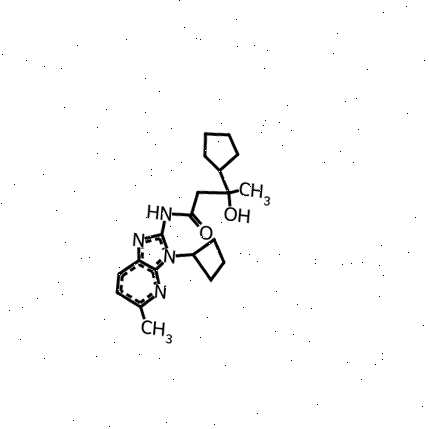 Cc1ccc2nc(NC(=O)CC(C)(O)C3CCCC3)n(C3CCC3)c2n1